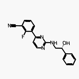 N#Cc1cccc(-c2ccnc(NC[C@H](O)c3ccccc3)n2)c1F